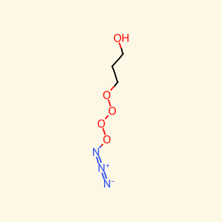 [N-]=[N+]=NOOOOCCCO